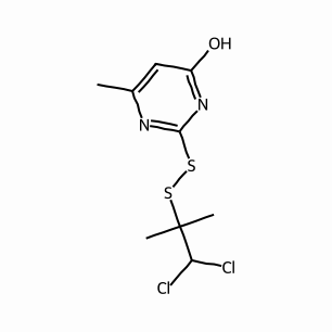 Cc1cc(O)nc(SSC(C)(C)C(Cl)Cl)n1